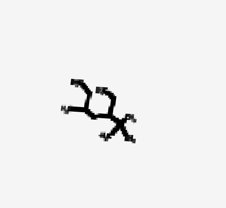 [CH2]C(C)(C)C(CC)CC(C)CC